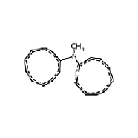 CN(c1ccccccccc1)c1ccccccccc1